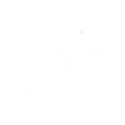 S=c1c2ccc(Br)cc2cnn1Cc1cnccn1